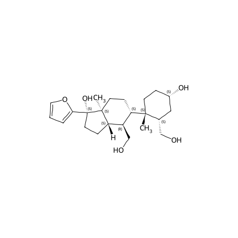 C[C@@]1([C@H]2CC[C@@]3(C)[C@@H](CC[C@@]3(O)c3ccco3)[C@@H]2CO)CC[C@H](O)C[C@@H]1CO